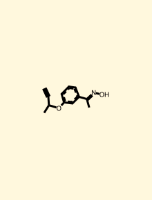 C#CC(C)Oc1cccc(C(C)=NO)c1